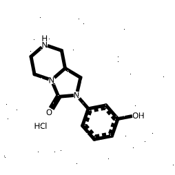 Cl.O=C1N(c2cccc(O)c2)CC2CNCCN12